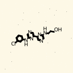 OCCCNc1cncc(-c2cncc(Nc3cccc(Cl)c3)n2)n1